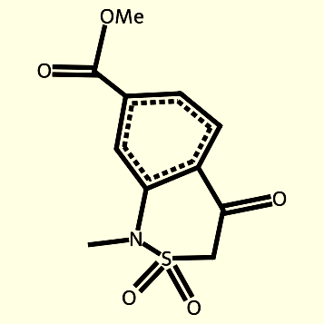 COC(=O)c1ccc2c(c1)N(C)S(=O)(=O)CC2=O